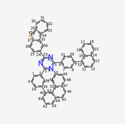 c1cc(-c2nc(-c3ccc(-c4cccc5ccccc45)cc3)nc(-c3ccc4sc5ccccc5c4c3)n2)cc(-c2cccc3ccc4ccccc4c23)c1